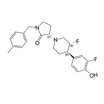 Cc1ccc(CN2CC[C@H](N3CC[C@H](c4ccc(O)c(F)c4)[C@@H](F)C3)C2=O)cc1